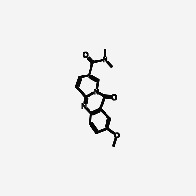 COc1ccc2nc3ccc(C(=O)N(C)C)cn3c(=O)c2c1